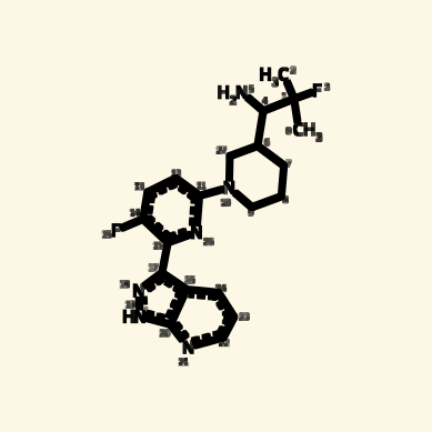 CC(C)(F)C(N)C1CCCN(c2ccc(F)c(-c3n[nH]c4ncccc34)n2)C1